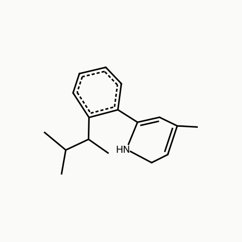 CC1=CCNC(c2ccccc2C(C)C(C)C)=C1